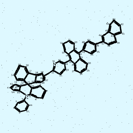 c1ccc(N2c3ccccc3C3(c4ccccc4-c4cc(-c5ccc(-c6c7ccccc7c(-c7ccc(-c8ccc9ccccc9c8)cc7)c7ccccc67)cn5)ccc43)c3ccccc32)cc1